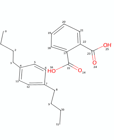 CCCCc1ccc(CCCC)cc1.O=C(O)c1ccccc1C(=O)O